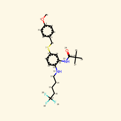 COc1ccc(CSc2ccc(NCCCCC(F)(F)F)c(NC(=O)C(C)(C)C)c2)cc1